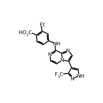 CCc1cc(Nc2nccn3c(-c4c[nH]nc4C(F)(F)F)cnc23)ccc1C(=O)O